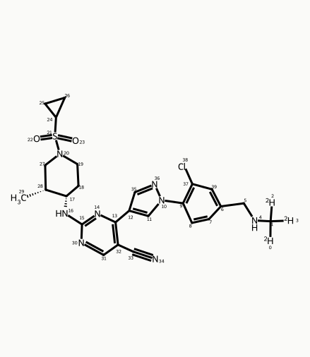 [2H]C([2H])([2H])NCc1ccc(-n2cc(-c3nc(N[C@H]4CCN(S(=O)(=O)C5CC5)C[C@H]4C)ncc3C#N)cn2)c(Cl)c1